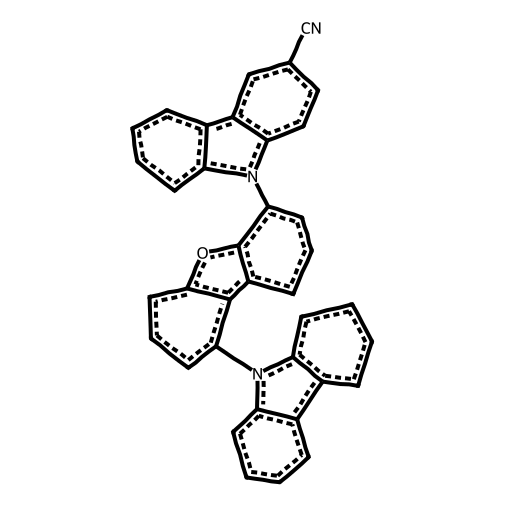 N#Cc1ccc2c(c1)c1ccccc1n2-c1cccc2c1oc1cccc(-n3c4ccccc4c4ccccc43)c12